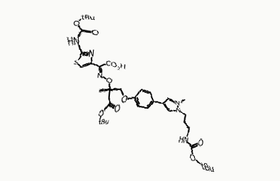 C[n+]1cc(-c2ccc(OCC(C)(O/N=C(\C(=O)O)c3csc(NC(=O)OC(C)(C)C)n3)C(=O)OC(C)(C)C)cc2)cn1CCCNC(=O)OC(C)(C)C